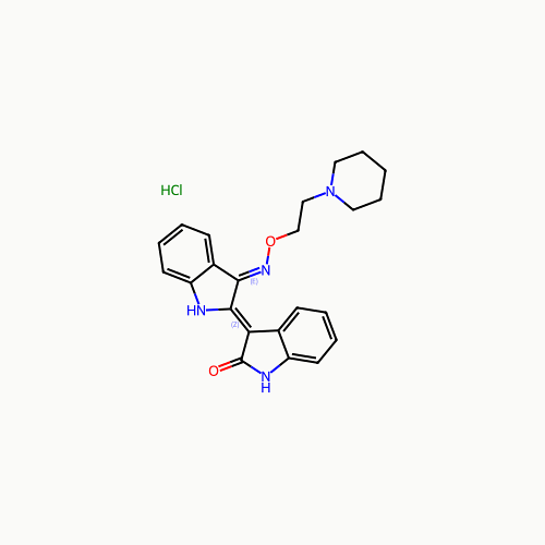 Cl.O=C1Nc2ccccc2/C1=C1/Nc2ccccc2/C1=N\OCCN1CCCCC1